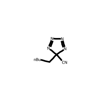 CCCCCC1(C#N)N=NN=N1